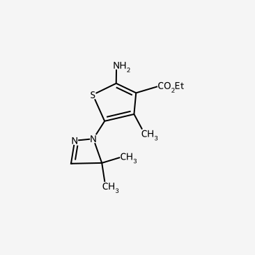 CCOC(=O)c1c(N)sc(N2N=CC2(C)C)c1C